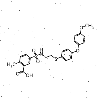 COc1ccc(Oc2ccc(SCCNS(=O)(=O)c3ccc(C)c(C(=O)O)c3)cc2)cc1